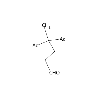 CC(=O)C(C)(CCC=O)C(C)=O